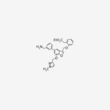 CCOC(=O)Cc1ccccc1OCc1coc2c(OCc3ccn(C)n3)cc(-c3cccc(CN)c3)cc12